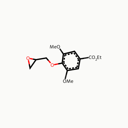 CCOC(=O)c1cc(OC)c(OCC2CO2)c(OC)c1